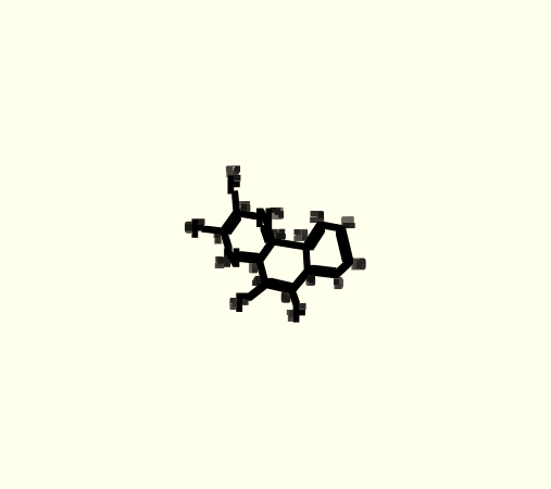 Fc1nc2c(F)c(F)c3ccccc3c2nc1F